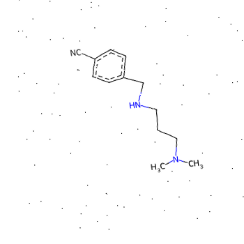 CN(C)CCCNCc1ccc(C#N)cc1